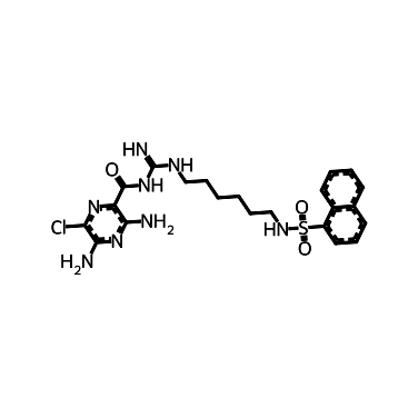 N=C(NCCCCCCNS(=O)(=O)c1cccc2ccccc12)NC(=O)c1nc(Cl)c(N)nc1N